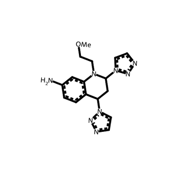 COCCN1c2cc(N)ccc2C(n2ccnn2)CC1n1ccnn1